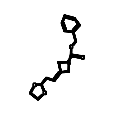 O=C(OCc1ccccc1)N1CC(=CCC2OCCO2)C1